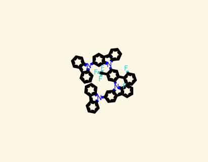 Fc1cccc(F)c1-c1cc(-n2c3ccccc3c3ccc(-n4c5ccccc5c5ccccc54)cc32)c(C(F)(F)F)cc1-n1c2ccccc2c2ccc(-n3c4ccccc4c4ccccc43)cc21